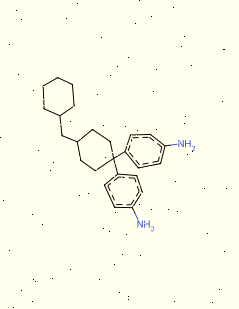 Nc1ccc(C2(c3ccc(N)cc3)CCC(CC3CCCCC3)CC2)cc1